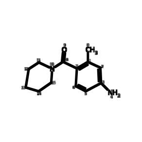 Cc1cc(N)ccc1C(=O)N1CCCCC1